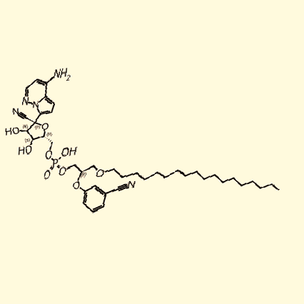 CCCCCCCCCCCCCCCCCCOC[C@H](COP(=O)(O)OC[C@H]1O[C@@](C#N)(c2ccc3c(N)ccnn23)[C@H](O)[C@@H]1O)Oc1cccc(C#N)c1